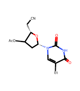 CCc1cn([C@@H]2CC(OC(C)=O)[C@H](CC#N)O2)c(=O)[nH]c1=O